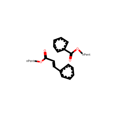 CCCCCOC(=O)C=Cc1ccccc1.CCCCCOC(=O)c1ccccc1